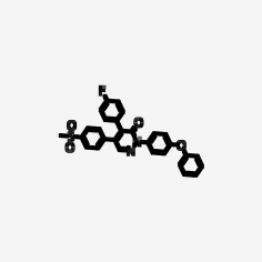 CS(=O)(=O)c1ccc(-c2cnn(-c3ccc(Oc4ccccc4)cc3)c(=O)c2-c2ccc(F)cc2)cc1